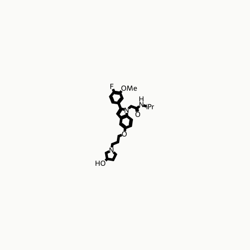 COc1cc(-c2cc3cc(OCCCN4CCC(O)C4)ccc3n2CC(=O)NC(C)C)ccc1F